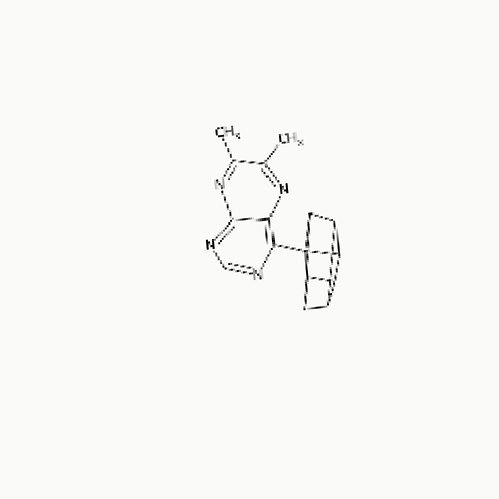 Cc1nc2ncnc(C34C5C6C7C5C3C7C64)c2nc1C